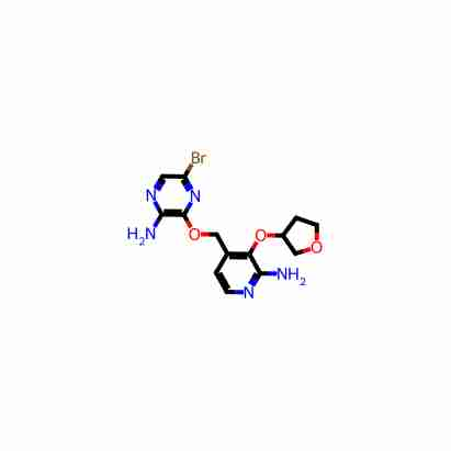 Nc1ncc(Br)nc1OCc1ccnc(N)c1OC1CCOC1